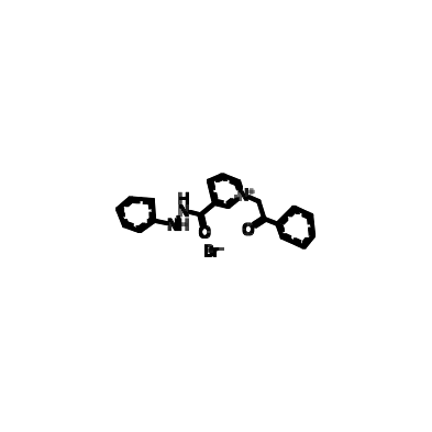 O=C(C[n+]1cccc(C(=O)NNc2ccccc2)c1)c1ccccc1.[Br-]